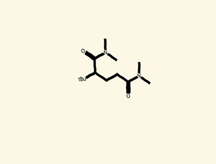 CN(C)C(=O)CCC(C(=O)N(C)C)C(C)(C)C